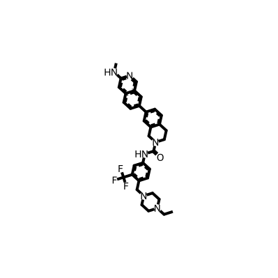 CCN1CCN(Cc2ccc(NC(=O)N3CCc4ccc(-c5ccc6cc(NC)ncc6c5)cc4C3)cc2C(F)(F)F)CC1